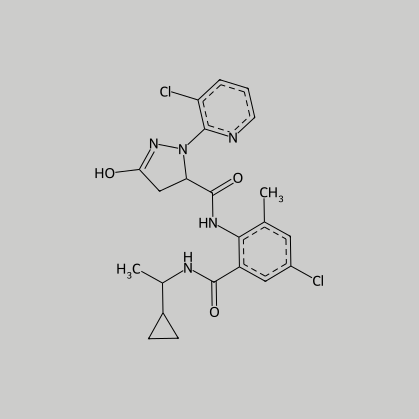 Cc1cc(Cl)cc(C(=O)NC(C)C2CC2)c1NC(=O)C1CC(O)=NN1c1ncccc1Cl